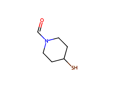 O=CN1CCC(S)CC1